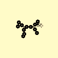 CC1(C)c2ccccc2-c2ccc(N(c3ccc(-c4ccccc4)cc3)c3ccc(-c4ccc5c(c4)c4cc(-c6ccc7ccccc7c6)ccc4n5-c4ccc5c6ccccc6c6ccccc6c5c4)cc3)cc21